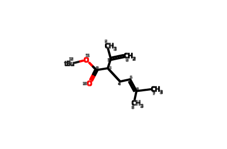 C=C(C)C(CC=C(C)C)C(=O)OC(C)(C)C